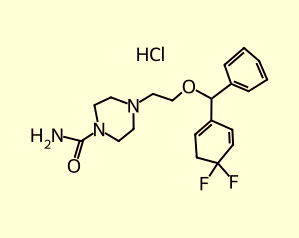 Cl.NC(=O)N1CCN(CCOC(C2=CCC(F)(F)C=C2)c2ccccc2)CC1